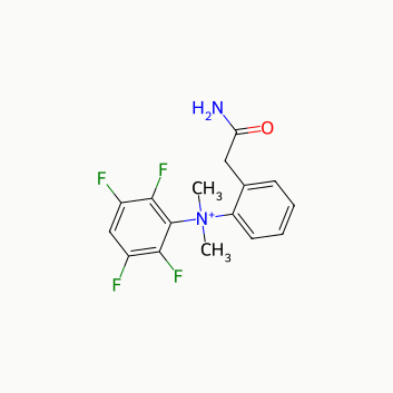 C[N+](C)(c1ccccc1CC(N)=O)c1c(F)c(F)cc(F)c1F